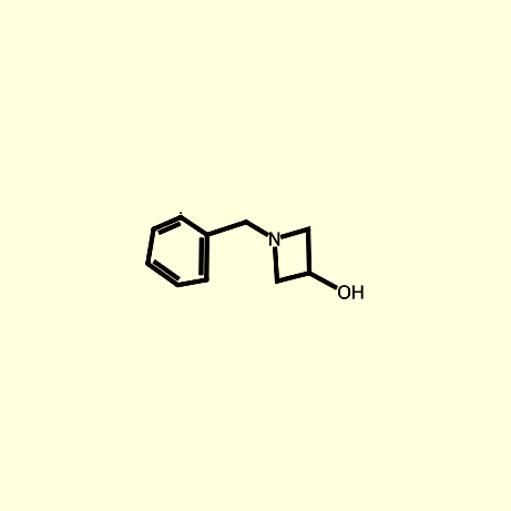 OC1CN(Cc2[c]cccc2)C1